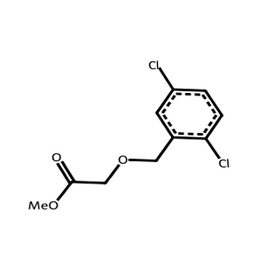 COC(=O)COCc1cc(Cl)ccc1Cl